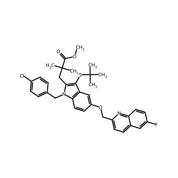 COC(=O)C(C)(C)Cc1c(SC(C)(C)C)c2cc(OCc3ccc4cc(F)ccc4n3)ccc2n1Cc1ccc(Cl)cc1